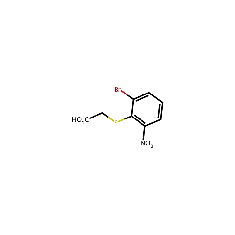 O=C(O)CSc1c(Br)cccc1[N+](=O)[O-]